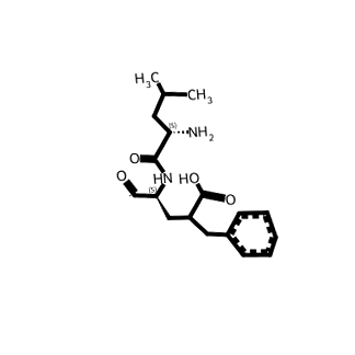 CC(C)C[C@H](N)C(=O)N[C@H]([C]=O)CC(Cc1ccccc1)C(=O)O